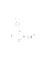 COc1ccc2c(c1)CN(CC1CCN(CCc3ccc(F)cc3)CC1)C2=O.O=C(O)C=CC(=O)O